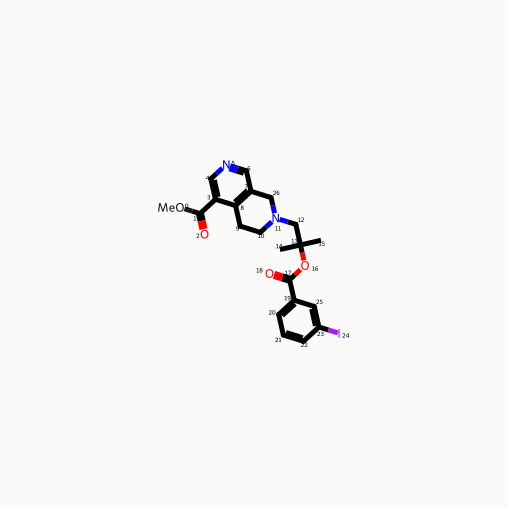 COC(=O)c1cncc2c1CCN(CC(C)(C)OC(=O)c1cccc(I)c1)C2